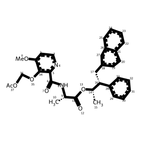 COc1ccnc(C(=O)N[C@@H](C)C(=O)O[C@@H](C)[C@H](Cc2ccc3ccccc3c2)c2ccccc2)c1OCOC(C)=O